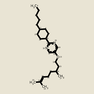 CCCCCC1CCC(c2ncc(OCCC(C)CCC=C(C)C)cn2)CC1